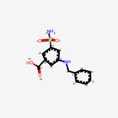 NS(=O)(=O)c1cc(NCc2ccccc2)cc(C(=O)O)c1